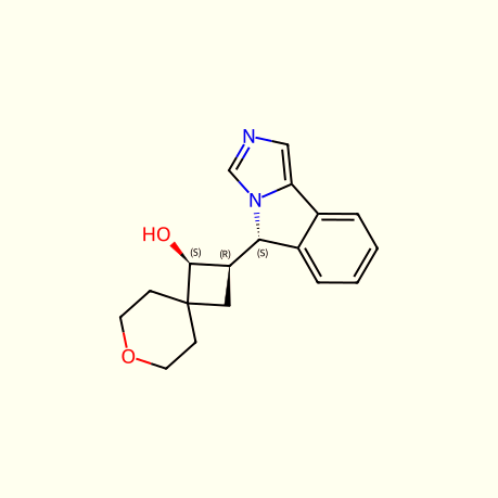 O[C@H]1[C@@H]([C@H]2c3ccccc3-c3cncn32)CC12CCOCC2